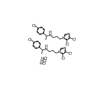 CC(NCCCn1cnc(Cl)c1Cl)c1ccc(Cl)cc1.CC(NCCCn1cnc(Cl)c1Cl)c1ccc(Cl)cc1.Cl.Cl.Cl